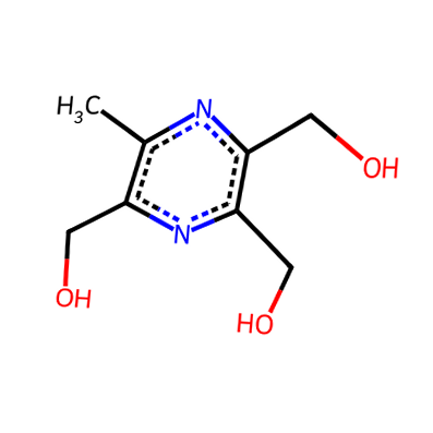 Cc1nc(CO)c(CO)nc1CO